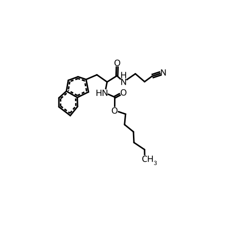 CCCCCCOC(=O)NC(Cc1ccc2ccccc2c1)C(=O)NCCC#N